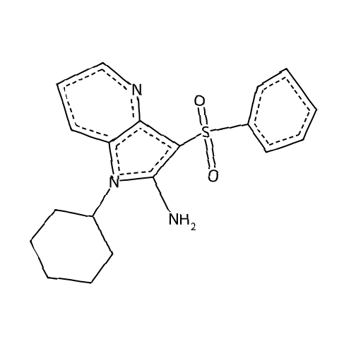 Nc1c(S(=O)(=O)c2ccccc2)c2ncccc2n1C1CCCCC1